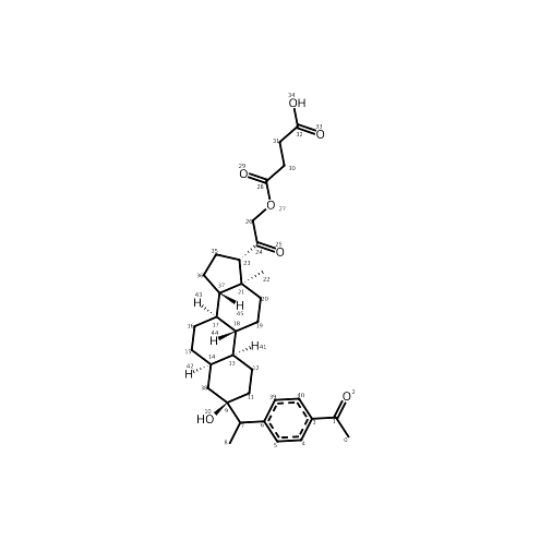 CC(=O)c1ccc(C(C)[C@@]2(O)CC[C@H]3[C@H](CC[C@@H]4[C@@H]3CC[C@]3(C)[C@@H](C(=O)COC(=O)CCC(=O)O)CC[C@@H]43)C2)cc1